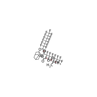 C=C(C)C(=O)OCC(=O)OC12CC3CC(C1)C(OC(=O)C(F)(F)C(F)(F)C(F)(F)C(F)(F)C(F)(F)C(F)(F)F)C(OC(=O)C(F)(F)C(F)(F)C(F)(F)C(F)(F)C(F)(F)C(F)(F)F)(C3)C2